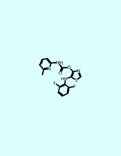 Cc1cccc(NC(=O)Oc2ncsc2Nc2c(F)cccc2F)n1